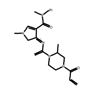 C=CC(=O)N1CCN(C(=C)/N=C2\CN(C)C=C2C(=O)B(C)C(C)C)C(C)C1